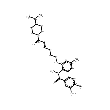 COc1cc(C(=O)N(C)c2ccc(C)cc2OCCC/C=C/C(=O)N2CCC(N(C)C)CC2)ccc1N